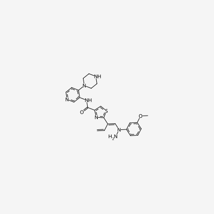 C=C/C(=C\N(N)c1cccc(OC)c1)c1nc(C(=O)Nc2cnccc2N2CCNCC2)cs1